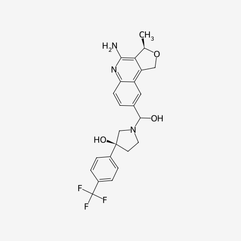 C[C@H]1OCc2c1c(N)nc1ccc(C(O)N3CC[C@](O)(c4ccc(C(F)(F)F)cc4)C3)cc21